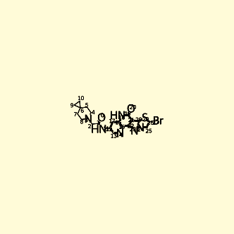 O=C(CN1CCC2(CC1)CC2)Nc1cnc2c(c1)[nH]c(=O)c1c2nn2cc(Br)sc12